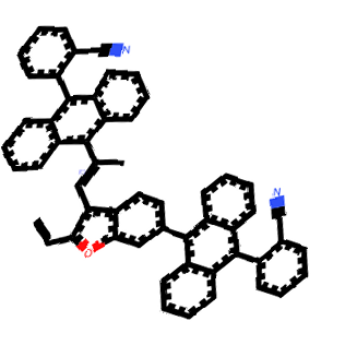 C=Cc1oc2cc(-c3c4ccccc4c(-c4ccccc4C#N)c4ccccc34)ccc2c1/C=C(\C)c1c2ccccc2c(-c2ccccc2C#N)c2ccccc12